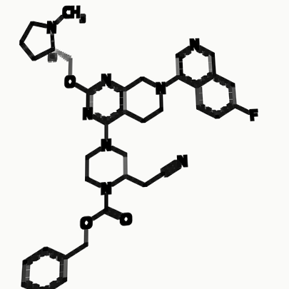 CN1CCC[C@H]1COc1nc2c(c(N3CCN(C(=O)OCc4ccccc4)C(CC#N)C3)n1)CCN(c1cncc3cc(F)ccc13)C2